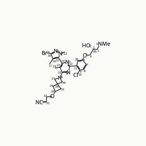 CNC[C@@H](O)COc1ccc(Cl)c(-c2nc(-c3c(C)c(Br)nn3C)c(C)c(N3CC4(CC(OCCC#N)C4)C3)n2)c1